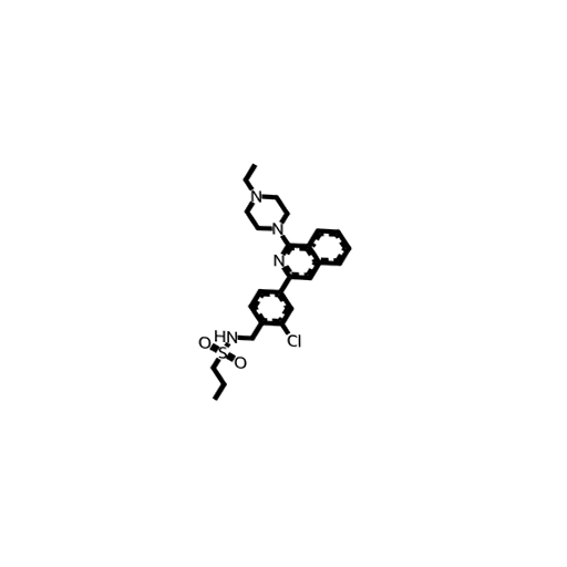 CCCS(=O)(=O)NCc1ccc(-c2cc3ccccc3c(N3CCN(CC)CC3)n2)cc1Cl